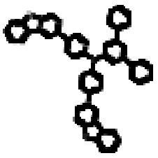 c1ccc(-c2cc(-c3ccccc3)cc(N(c3ccc(-c4ccc5sc6ccccc6c5c4)cc3)c3ccc(-c4ccc5sc6ccccc6c5c4)cc3)c2)cc1